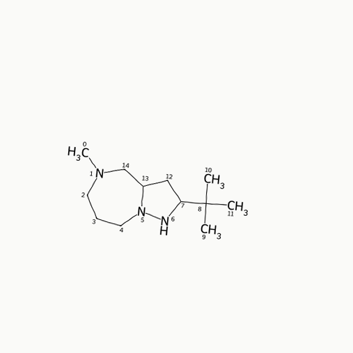 CN1CCCN2NC(C(C)(C)C)CC2C1